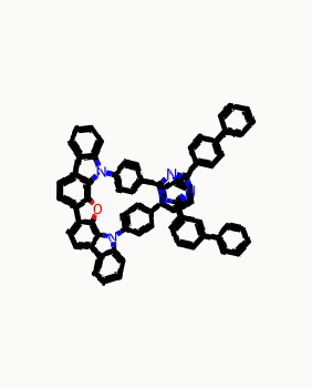 c1ccc(-c2ccc(-c3nc(-c4ccc(-n5c6ccccc6c6ccc7c8ccc9c%10ccccc%10n(-c%10ccc(-c%11ccccc%11)cc%10)c9c8oc7c65)cc4)nc(-c4cccc(-c5ccccc5)c4)n3)cc2)cc1